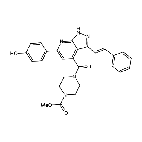 COC(=O)N1CCN(C(=O)c2cc(-c3ccc(O)cc3)nc3[nH]nc(C=Cc4ccccc4)c23)CC1